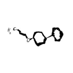 C=CCO[C@H]1CC[C@@H](c2ccccc2)CC1